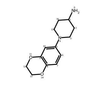 NC1CCN(c2ccc3c(c2)OCCO3)CC1